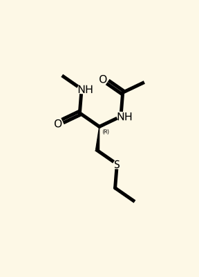 CCSC[C@H](NC(C)=O)C(=O)NC